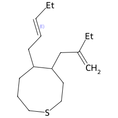 C=C(CC)CC1CCSCCCC1C/C=C/CC